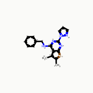 Cc1sc2nc(-n3cccn3)nc(NCc3ccccc3)c2c1C